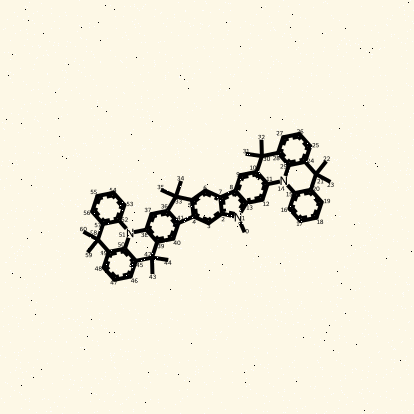 Cn1c2cc3c(cc2c2cc4c(cc21)N1c2ccccc2C(C)(C)c2cccc(c21)C4(C)C)C(C)(C)c1cc2c(cc1-3)C(C)(C)c1cccc3c1N2c1ccccc1C3(C)C